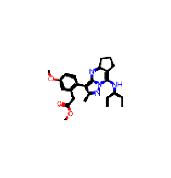 CCC(CC)Nc1c2c(nc3c(-c4ccc(OC)cc4CC(=O)OC)c(C)nn13)CCC2